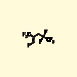 FC=C(CC(F)(F)C(F)(F)F)C(F)(F)F